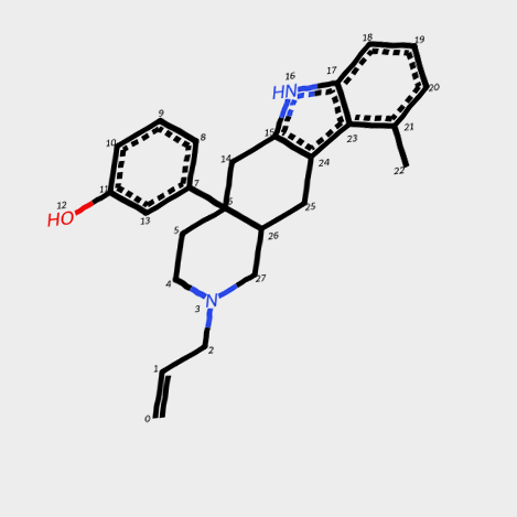 C=CCN1CCC2(c3cccc(O)c3)Cc3[nH]c4cccc(C)c4c3CC2C1